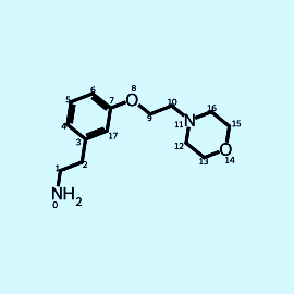 NCCc1cccc(OCCN2CCOCC2)c1